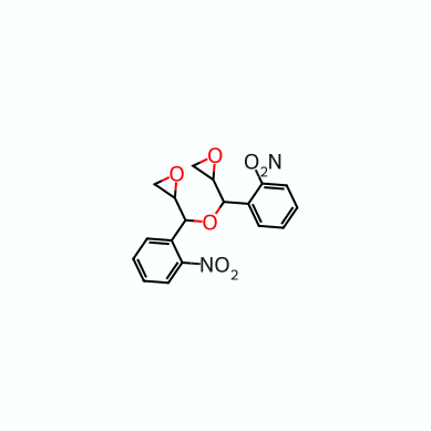 O=[N+]([O-])c1ccccc1C(OC(c1ccccc1[N+](=O)[O-])C1CO1)C1CO1